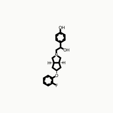 Oc1ccc(C(O)CN2C[C@H]3C[C@H](Oc4ccccc4F)C[C@H]3C2)cc1